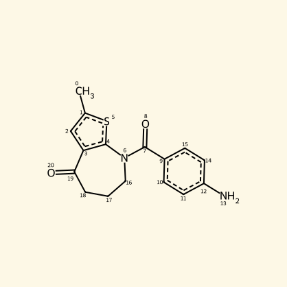 Cc1cc2c(s1)N(C(=O)c1ccc(N)cc1)CCCC2=O